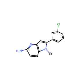 CCn1c(-c2cccc(Cl)c2)cc2nc(N)c[c]c21